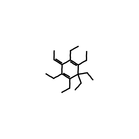 CC=C1C(CC)=C(CC)C(CC)(CC)C(CC)=C1CC